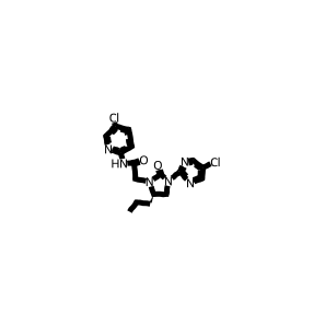 CCC[C@H]1CN(c2ncc(Cl)cn2)C(=O)N1CC(=O)Nc1ccc(Cl)cn1